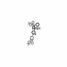 CC(C)(C)OC(=O)Nc1ccccc1NC(=O)c1ccc(C2=CCN(C(=O)OC(C)(C)C)CC2)nc1